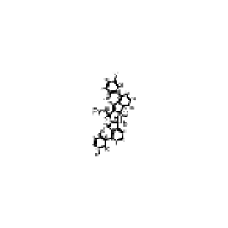 Cc1ccc(C)c(-c2cccc3c2C=C2[CH]3[Hf]([CH3])([CH3])[CH]3C(=Cc4c(-c5cc(C)ccc5C)cccc43)C2(C)CC(C)C)c1